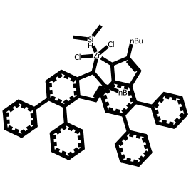 CCCCC1=Cc2c(ccc(-c3ccccc3)c2-c2ccccc2)[CH]1[Zr]([Cl])([Cl])([CH]1C(CCCC)=Cc2c1ccc(-c1ccccc1)c2-c1ccccc1)[SiH](C)C